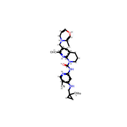 COC1(CNc2cc(NC(=O)N3CCCc4cc(CN5CC=COC=C5C)c(C=O)nc43)ncc2C#N)CC1